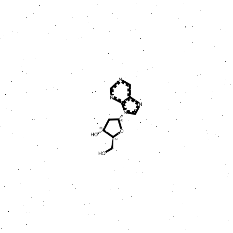 OC[C@@H]1O[C@@H](n2cnc3cncnc32)C[C@H]1O